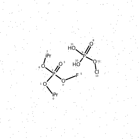 CC(C)OP(=O)(OF)OC(C)C.O=P(O)(O)OCl